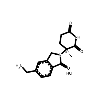 C[C@]1(N2Cc3cc(CN)ccc3C2=O)CCC(=O)NC1=O.Cl